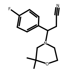 CC1(C)CN(C(CC#N)c2ccc(F)cc2)CCO1